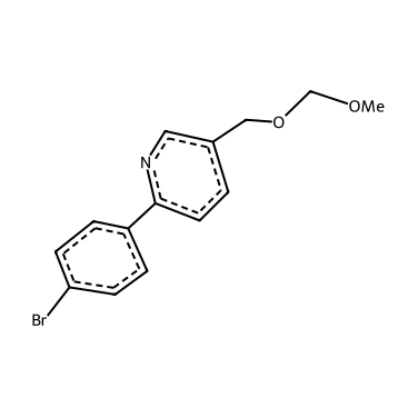 COCOCc1ccc(-c2ccc(Br)cc2)nc1